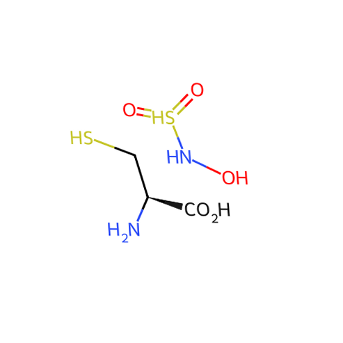 N[C@@H](CS)C(=O)O.O=[SH](=O)NO